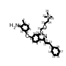 Cc1ccc(Oc2ccc3c(C=Cc4ccccc4)nn(COCC[Si](C)(C)C)c3c2)cc1N